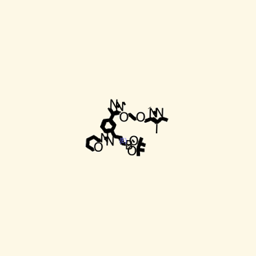 Cc1nn(C)c(COCCOc2c(-c3ccc4c(c3)c(/C=C/B3OC(C)(C)C(C)(C)O3)nn4C3CCCCO3)cnn2C)c1I